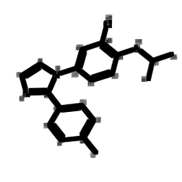 Cc1ccc(-c2nccn2-c2ccc(SC(C)C)c(Cl)c2)cc1